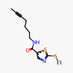 CC#CCCCCNC(=O)c1cnc(SCC)s1